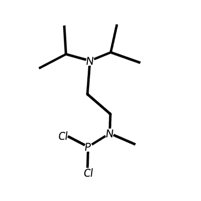 CC(C)N(CCN(C)P(Cl)Cl)C(C)C